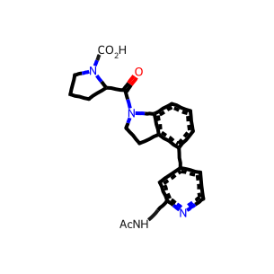 CC(=O)Nc1cc(-c2cccc3c2CCN3C(=O)C2CCCN2C(=O)O)ccn1